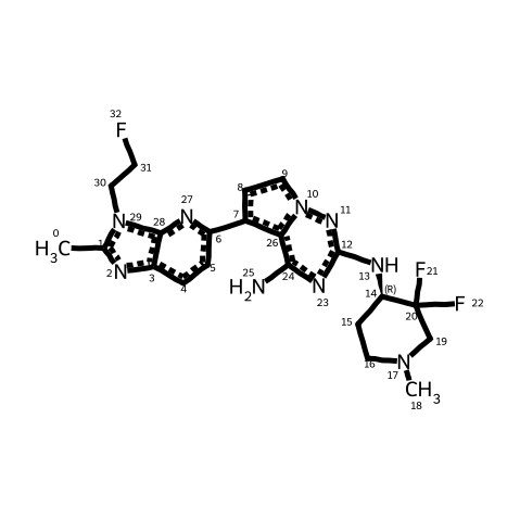 Cc1nc2ccc(-c3ccn4nc(N[C@@H]5CCN(C)CC5(F)F)nc(N)c34)nc2n1CCF